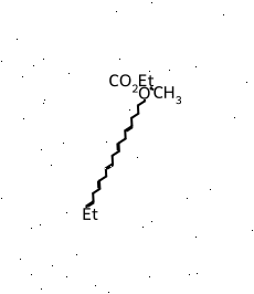 CCC=CCC=CCC=CCC=CCC=CCCCCOC(C)C(=O)OCC